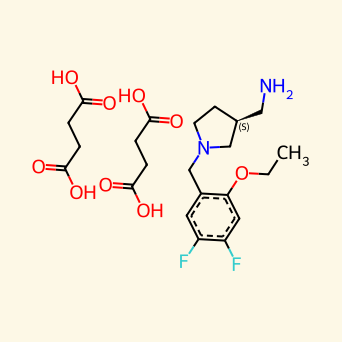 CCOc1cc(F)c(F)cc1CN1CC[C@@H](CN)C1.O=C(O)CCC(=O)O.O=C(O)CCC(=O)O